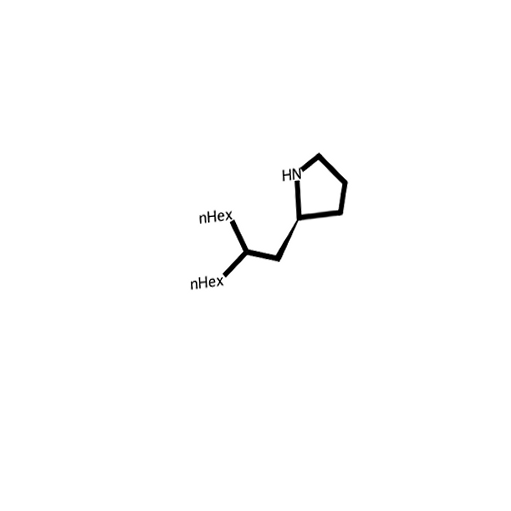 CCCCCCC(CCCCCC)C[C@@H]1CCCN1